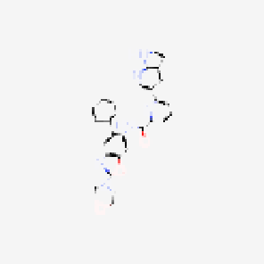 O=C(Nc1cc2oc(N3CCOCC3)nc2cc1-c1ccccc1)c1cccc(-c2cnc3[nH]ccc3c2)n1